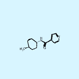 C[C@H]1CC[C@H](NC(=O)c2ccncc2)CC1